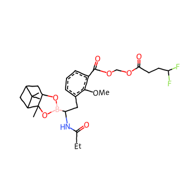 CCC(=O)NC(Cc1cccc(C(=O)OCOC(=O)CCC(F)F)c1OC)B1OC2CC3CC(C3(C)C)C2(C)O1